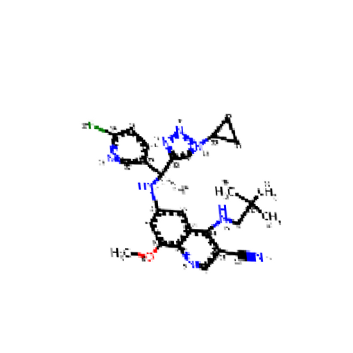 [2H][C@](Nc1cc(OC)c2ncc(C#N)c(NCC(C)(C)C)c2c1)(c1ccc(F)nc1)c1cn(C2CC2)nn1